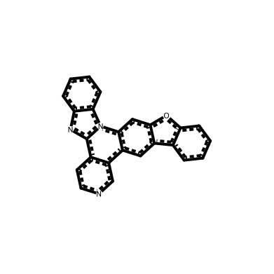 c1ccc2c(c1)nc1c3ccncc3c3cc4c(cc3n21)oc1ccccc14